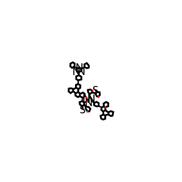 c1ccc(-c2nc(-c3ccccc3)nc(-c3ccc(-c4ccc5c(c4)c4ccccc4c4ccc6c(-c7ccc8sc9ccccc9c8c7-c7nc(-c8ccc(-c9cc%10c%11ccccc%11c%11ccccc%11c%10c%10ccccc9%10)cc8)nc(-c8cccc9sc%10ccccc%10c89)n7)cccc6c45)cc3)n2)cc1